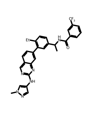 CCc1ccc(C(C)NC(=O)c2cccc(C(F)(F)F)c2)cc1-c1ccc2cnc(Nc3cnn(C)c3)nc2c1